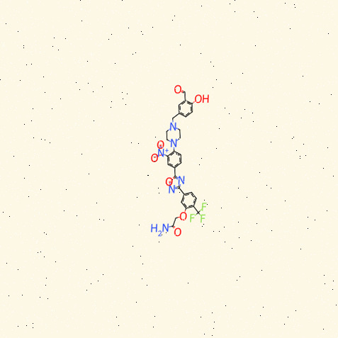 NC(=O)COc1cc(-c2noc(-c3ccc(N4CCN(Cc5ccc(O)c(C=O)c5)CC4)c([N+](=O)[O-])c3)n2)ccc1C(F)(F)F